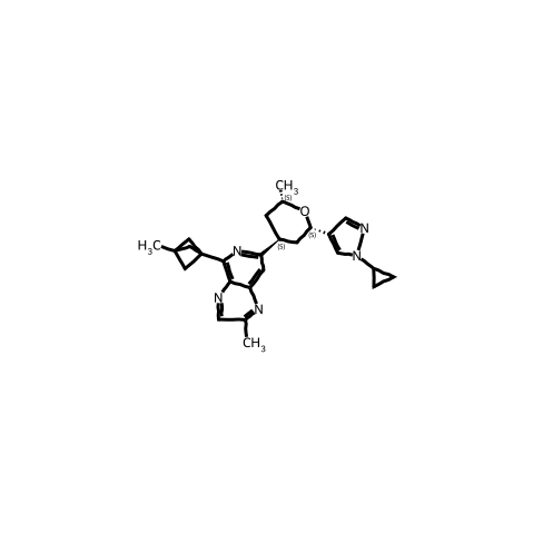 Cc1cnc2c(C34CC(C)(C3)C4)nc([C@@H]3C[C@@H](c4cnn(C5CC5)c4)O[C@@H](C)C3)cc2n1